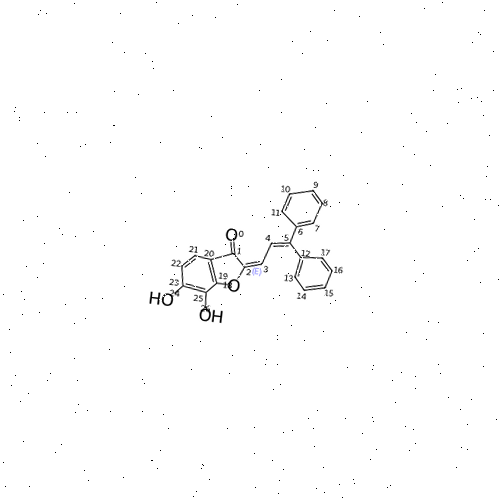 O=C1/C(=C\C=C(c2ccccc2)c2ccccc2)Oc2c1ccc(O)c2O